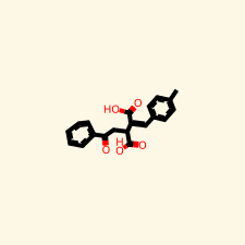 Cc1ccc(C=C(C(=O)O)C(CC(=O)c2ccccc2)C(=O)O)cc1